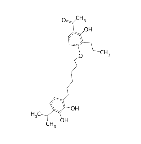 CCCc1c(OCCCCCCc2ccc(C(C)C)c(O)c2O)ccc(C(C)=O)c1O